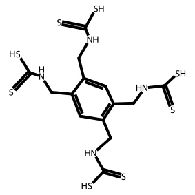 S=C(S)NCc1cc(CNC(=S)S)c(CNC(=S)S)cc1CNC(=S)S